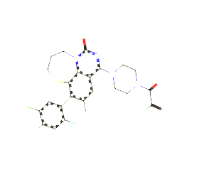 C=C(F)C(=O)N1CCN(c2nc(=O)n3c4c(c(-c5cc(Cl)c(F)cc5F)c(C(F)(F)F)cc24)SCCC3)CC1